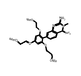 COCCOc1cc(OCCOC)c(-c2ccc3c(c2)N=C(N)N(C)C3N)c(OCCOC)c1